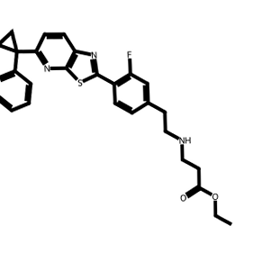 CCOC(=O)CCNCCc1ccc(-c2nc3ccc(C4(c5ccccc5)CC4)nc3s2)c(F)c1